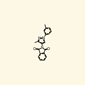 Cc1cccc(-n2cc(N3C(=O)c4ccccc4C3=O)c(C)n2)c1